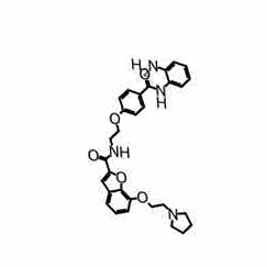 Nc1ccccc1NC(=O)c1ccc(OCCNC(=O)c2cc3cccc(OCCN4CCCC4)c3o2)cc1